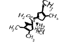 Cl.Cl.[CH2]=[Zr](=[CH2])([C]1=CC(C)=C(C)C1)[C]1=CC(C)=C(C)C1